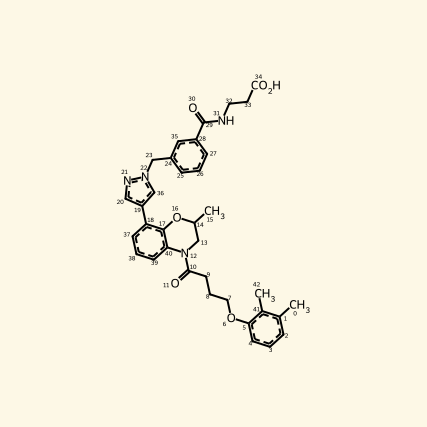 Cc1cccc(OCCCC(=O)N2CC(C)Oc3c(-c4cnn(Cc5cccc(C(=O)NCCC(=O)O)c5)c4)cccc32)c1C